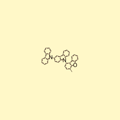 Cc1ccc(-n2c3ccccc3c3cc(-n4c5ccccc5c5ccccc54)ccc32)c2c1oc1ccccc12